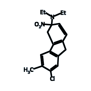 CCN(CC)C1([N+](=O)[O-])C=CC2=C(C1)c1cc(C)c(Cl)cc1C2